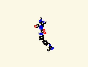 CCc1nc2c(cnn2CC)c(NC2CCOCC2)c1CNC(=O)CC(=O)NCc1ccc(C)c(-c2cccc(CN3C[C@H]4CC3CN4)c2)c1